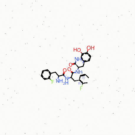 C/C=C\C(CC(NC(=O)C(N)Cc1ccccc1F)C(=O)NC(Cc1ccc(O)c(O)c1)C(N)=O)=C(/C)F